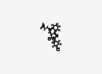 CN(C)CCn1cc2c(=O)n(-c3ccc(Cl)cc3)nc-2c2ccccc21